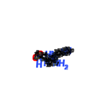 C=CS(=O)(=O)Nc1cccc(-c2nccc3c(N)nc(Nc4ccc(N5CCN(C)CC5)cc4)nc23)c1